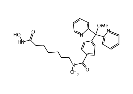 COC(c1ccc(C(=O)N(C)CCCCCCC(=O)NO)cc1)(c1ccccn1)c1ccccn1